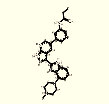 CCC(=O)Nc1cncc(-c2cnc3[nH]nc(-c4nc5c(N6CCN(C)CC6)cccc5[nH]4)c3c2)c1